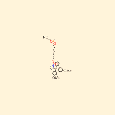 COc1ccc(C(c2ccccc2)(c2ccc(OC)cc2)[C@@H]2CCCN2C(=O)OCCCCCCCCOP(C)OCCC#N)cc1